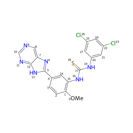 COc1ccc(-c2nc3cncnc3[nH]2)cc1NC(=S)Nc1cc(Cl)cc(Cl)c1